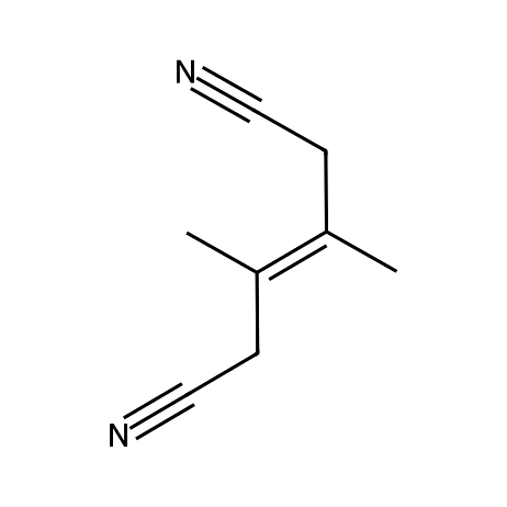 CC(CC#N)=C(C)CC#N